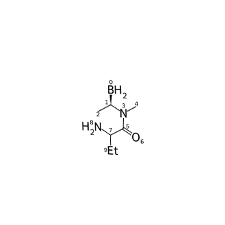 B[C@H](C)N(C)C(=O)C(N)CC